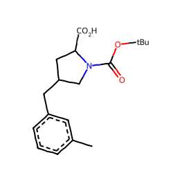 Cc1cccc(CC2CC(C(=O)O)N(C(=O)OC(C)(C)C)C2)c1